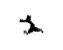 COc1cc(C(C)=O)ccc1OCCCN1CCC(C(c2ccc(C)cc2)c2ccc(C)cc2)CC1